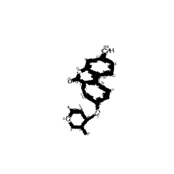 CC1COCCC1Oc1ccc2c(c1)c(=O)oc1cc(O)ccc12